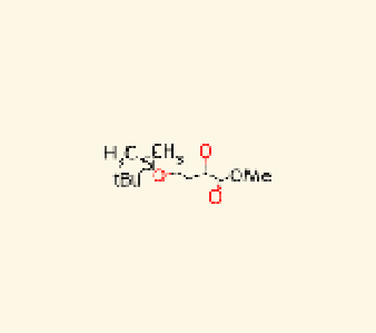 COC(=O)C(=O)CCO[Si](C)(C)C(C)(C)C